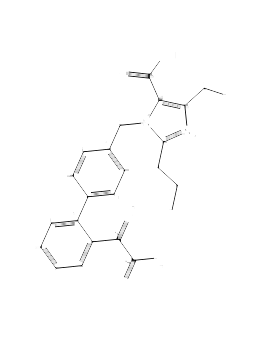 CCCc1nc(CO)c(C(=O)O)n1Cc1ccc(-c2ccccc2C(=O)C(=O)O)cc1